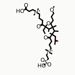 CCC(C)(C(=O)CCC[N+](C)(C)CCC(=O)O)C(C)C(C)(C(=O)CCCOC)C(C)C(C)(CC(C)(C)C)C(=O)CCC[N+](C)(C)CCS(=O)(=O)O